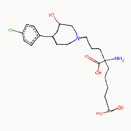 NC(CCCCB(O)O)(CCCN1CCC(c2ccc(Cl)cc2)C(O)C1)C(=O)O